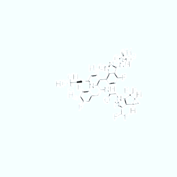 Cn1nc(NS(C)(=O)=O)c2c(F)ccc(-c3ccc(C#CC(C)(C)O)nc3[C@H](Cc3cc(F)cc(F)c3)NC(=O)Cn3nc(C(F)F)c4c3C(F)(F)[C@@H]3C[C@H]43)c21